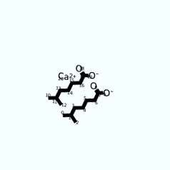 CC(C)CCCCC(=O)[O-].CC(C)CCCCC(=O)[O-].[Ca+2]